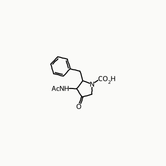 CC(=O)NC1C(=O)CN(C(=O)O)C1Cc1ccccc1